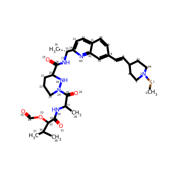 CSN1CCC(/C=C/c2ccc3ccc([C@@H](C)NC(=O)C4CCCN(C(=O)C(C)NC(=O)C(OC=O)C(C)C)N4)nc3c2)CC1